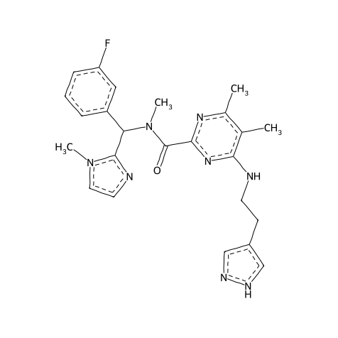 Cc1nc(C(=O)N(C)C(c2cccc(F)c2)c2nccn2C)nc(NCCc2cn[nH]c2)c1C